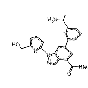 CNC(=O)c1cc(-c2cccc(C(C)N)n2)cc2c1cnn2-c1cccc(CO)n1